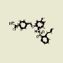 C=CCc1ccccc1S(=O)(=O)Nc1ccc(C)cc1OCc1ccc(C(=O)O)cc1